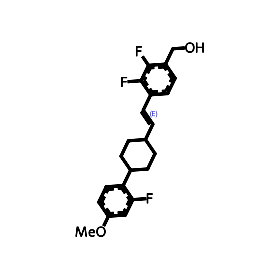 COc1ccc(C2CCC(/C=C/c3ccc(CO)c(F)c3F)CC2)c(F)c1